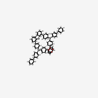 c1ccc(-c2ccc(N(c3ccc(-c4ccccc4)cc3)c3ccc(-c4cccc5c4sc4c(-c6ccc(N(c7ccc(-c8ccccc8)cc7)c7ccc(-c8ccccc8)cc7)cc6)cccc45)cc3)cc2)cc1